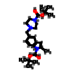 Cc1cc2cc(CN3CCN(C(=O)OC(C)(C)C)CC3)ccc2n1C(=O)OC(C)(C)C